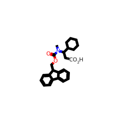 CN(C(=O)OCC1c2ccccc2-c2ccccc21)C(CC(=O)O)C1CCCCC1